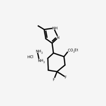 CCOC(=O)C1CC(F)(F)CCC1c1cc(C)[nH]n1.Cl.NN